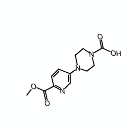 COC(=O)c1ccc(N2CCN(C(=O)O)CC2)cn1